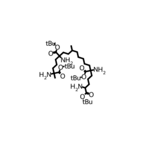 CC(CCCCCC(N)(CCCC(N)C(=O)OC(C)(C)C)C(=O)OC(C)(C)C)CCC(N)(CCCC(C)(N)C(=O)OC(C)(C)C)C(=O)OC(C)(C)C